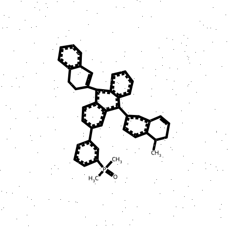 CC1CC=Cc2cc(-c3c4ccccc4c(C4=Cc5ccccc5CC4)c4ccc(-c5cccc(P(C)(C)=O)c5)cc34)ccc21